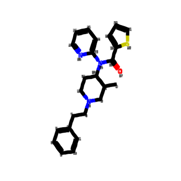 CC1CN(CCc2ccccc2)CCC1N(C(=O)c1cccs1)c1ccccn1